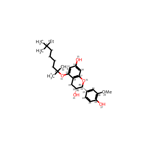 CCC(C)(C)CCCCC(C)(C)Oc1cc(O)cc2c1C[C@@H](O)[C@@H](c1ccc(O)c(OC)c1)O2